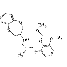 COCOc1c(OC)cccc1SC[C@H](C)CNC1COc2ccccc2SC1